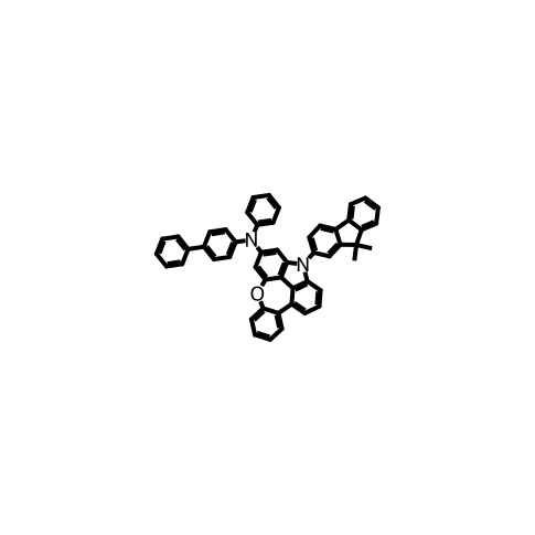 CC1(C)c2ccccc2-c2ccc(-n3c4cc(N(c5ccccc5)c5ccc(-c6ccccc6)cc5)cc5oc6ccccc6c6cccc3c6c54)cc21